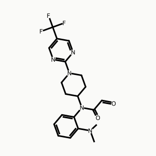 CN(C)c1ccccc1N(C(=O)C=O)C1CCN(c2ncc(C(F)(F)F)cn2)CC1